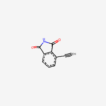 C#Cc1cccc2c1C(=O)NC2=O